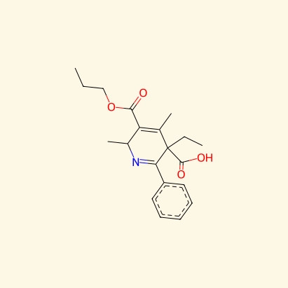 CCCOC(=O)C1=C(C)C(CC)(C(=O)O)C(c2ccccc2)=NC1C